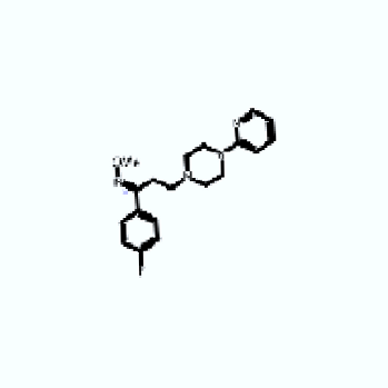 CO/N=C(\CCN1CCN(c2ccccn2)CC1)c1ccc(F)cc1